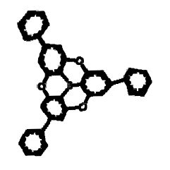 c1ccc(-c2cc3c4c(c2)Oc2cc(-c5ccccc5)cc5c2B4c2c(cc(-c4ccccc4)cc2O5)O3)cc1